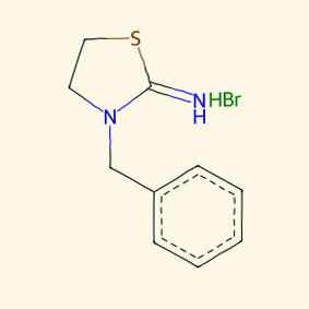 Br.N=C1SCCN1Cc1ccccc1